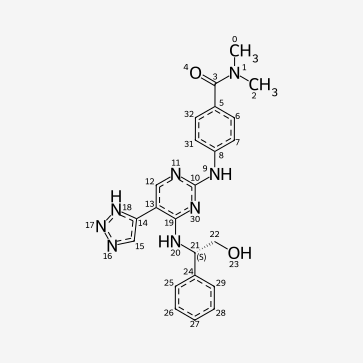 CN(C)C(=O)c1ccc(Nc2ncc(-c3cnn[nH]3)c(N[C@H](CO)c3ccccc3)n2)cc1